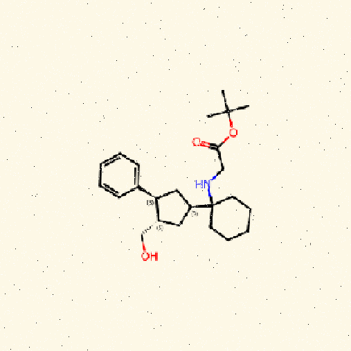 CC(C)(C)OC(=O)CNC1([C@H]2C[C@H](CO)[C@@H](c3ccccc3)C2)CCCCC1